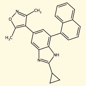 Cc1noc(C)c1-c1cc(-c2cccc3ccccc23)c2[nH]c(C3CC3)nc2c1